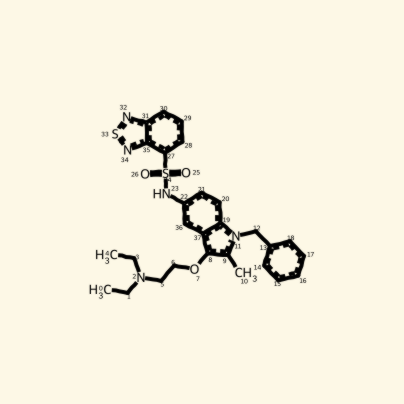 CCN(CC)CCOc1c(C)n(Cc2ccccc2)c2ccc(NS(=O)(=O)c3cccc4nsnc34)cc12